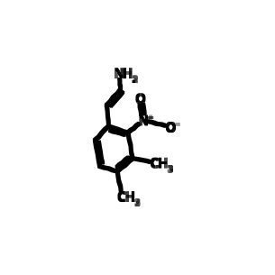 Cc1ccc(C=CN)c([N+](=O)[O-])c1C